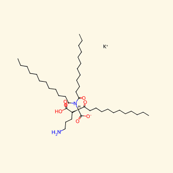 CCCCCCCCCCCC(=O)N(C(=O)CCCCCCCCCCC)[C@@](C(=O)[O-])(C(=O)CCCCCCCCCCC)C(CCCN)C(=O)O.[K+]